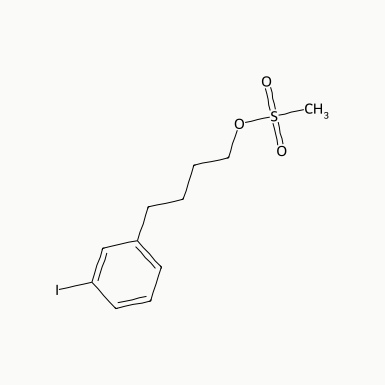 CS(=O)(=O)OCCCCc1cccc(I)c1